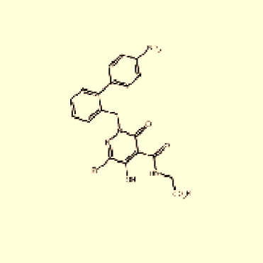 CC(C)c1nn(Cc2ccccc2-c2ccc([N+](=O)[O-])cc2)c(=O)c(C(=O)NCC(=O)O)c1O